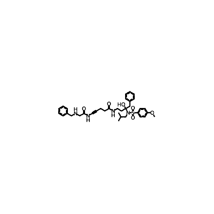 COc1ccc(S(=O)(=O)N(CC(C)C)C(O)(CCNC(=O)CCC#CNC(=O)CNCc2ccccc2)Cc2ccccc2)cc1